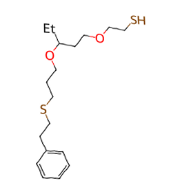 [CH2]CC(CCOCCS)OCCCSCCc1ccccc1